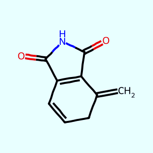 C=C1CC=CC2=C1C(=O)NC2=O